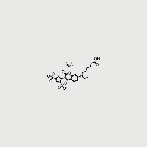 CCN(CCCCCC(=O)O)c1ccc2cc(-c3sc(S(=O)(=O)[O-])cc3S(=O)(=O)[O-])c(=O)oc2c1.[Na+].[Na+]